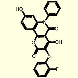 O=c1oc2c(c(O)c1Sc1ccccc1F)c(=O)n(-c1ccccc1)c1cc(O)ccc21